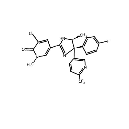 C[C@@H]1NC(c2cc(Cl)c(=O)n(C)c2)=N[C@@]1(c1ccc(F)cc1)c1ccc(C(F)(F)F)nc1